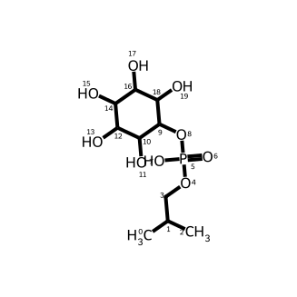 CC(C)COP(=O)(O)OC1C(O)C(O)C(O)C(O)C1O